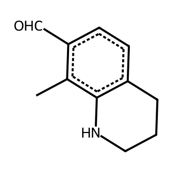 Cc1c(C=O)ccc2c1NCCC2